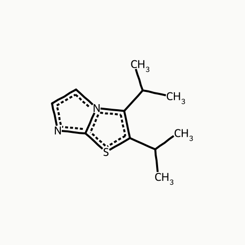 CC(C)c1sc2nccn2c1C(C)C